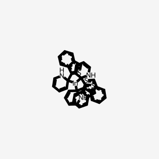 C1=CN[C](c2scc3ccccc23)([In]([C]2(c3scc4ccccc34)C=CC=CN2)[C]2(c3scc4ccccc34)C=CC=CN2)C=C1